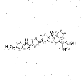 COc1ccc(NC(=O)c2ccc(N3CCN(C(=O)c4ccc(-c5cncc(O)c5)c5ccccc45)CC3)cc2)cc1